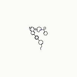 CCCC1=CCCC(c2ccc(C3=CCC4=CN=CC=C(N5CC/C=C(\C(=O)C6=CCCCC6)CCC5)C4=C3)cc2)CC1